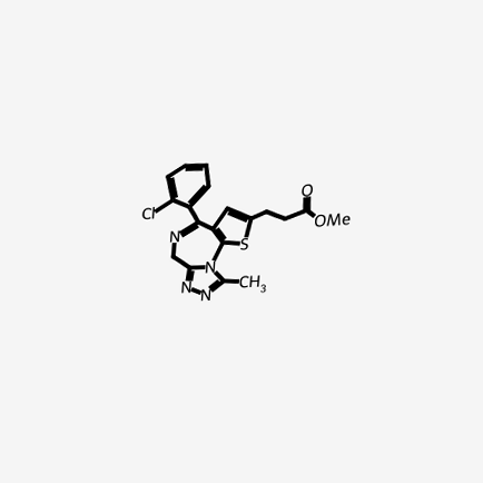 COC(=O)CCc1cc2c(s1)-n1c(C)nnc1CN=C2c1ccccc1Cl